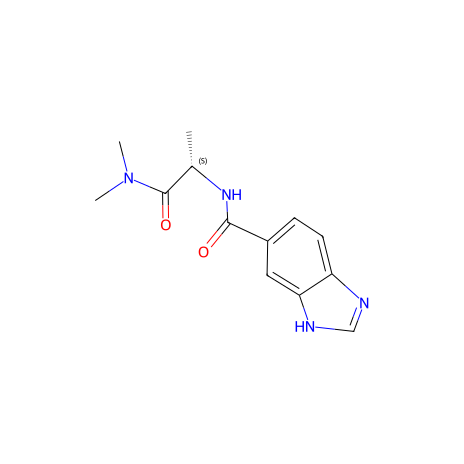 C[C@H](NC(=O)c1ccc2nc[nH]c2c1)C(=O)N(C)C